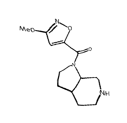 COc1cc(C(=O)N2CCC3CCNCC32)on1